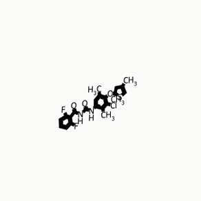 CC1=CSC(C)(Oc2c(C)cc(NC(=O)NC(=O)c3c(F)cccc3F)c(C)c2Cl)C1